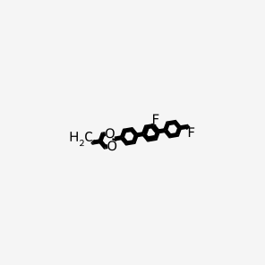 C=CC1COC(C2CCC(c3ccc(C4CCC(CF)CC4)c(F)c3)CC2)OC1